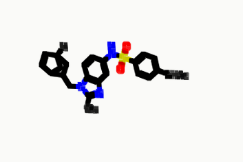 CC(=O)Nc1ccc(S(=O)(=O)Nc2ccc3c(c2)nc(C(C)(C)C)n3CC2C[C@H]3C=CC2C3)cc1